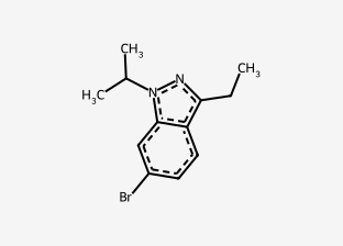 CCc1nn(C(C)C)c2cc(Br)ccc12